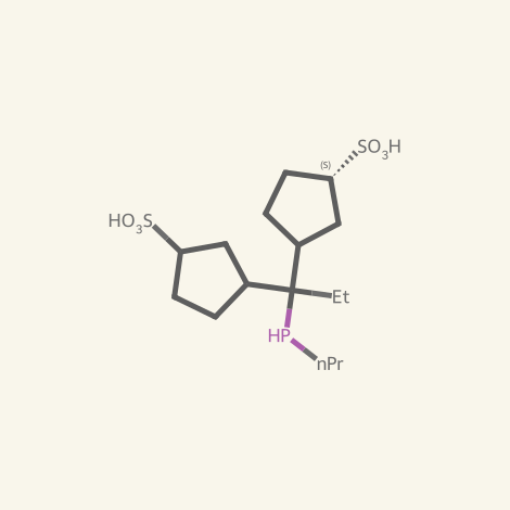 CCCPC(CC)(C1CCC(S(=O)(=O)O)C1)C1CC[C@H](S(=O)(=O)O)C1